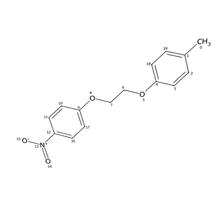 Cc1ccc(OCCOc2ccc([N+](=O)[O-])cc2)cc1